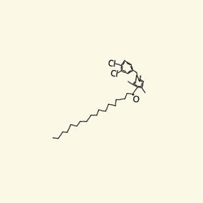 CCCCCCCCCCCCCCCCCC(=O)c1c(C)cn(Cc2ccc(Cl)c(Cl)c2)c1C